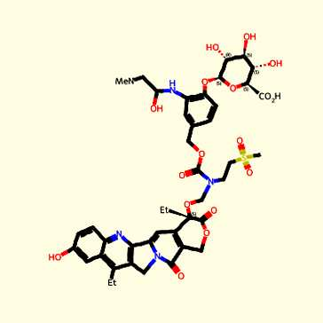 CCc1c2c(nc3ccc(O)cc13)-c1cc3c(c(=O)n1C2)COC(=O)[C@@]3(CC)OCN(CCS(C)(=O)=O)C(=O)OCc1ccc(O[C@@H]2O[C@H](C(=O)O)[C@@H](O)[C@H](O)[C@H]2O)c(NC(O)CNC)c1